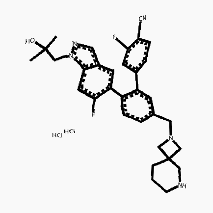 CC(C)(O)Cn1ncc2cc(-c3ccc(CN4CC5(CCCNC5)C4)cc3-c3ccc(C#N)c(F)c3)c(F)cc21.Cl.Cl